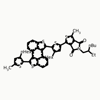 CCCCCCc1cc(C)sc1-c1sc2cccc3c4c(-c5sc(-c6sc(C)c7c6C(=O)N(CC(CC)CCCC)C7=O)cc5CCCCCC)sc5cccc(c1c23)c54